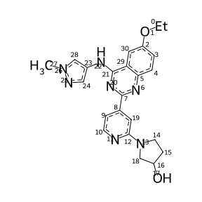 CCOc1ccc2nc(-c3ccnc(N4CCC(O)C4)c3)nc(Nc3cnn(C)c3)c2c1